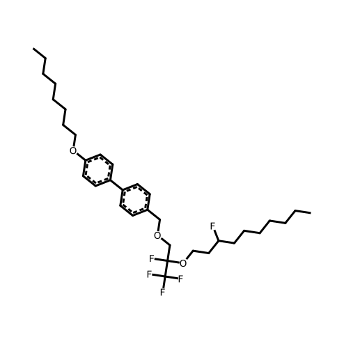 CCCCCCCCOc1ccc(-c2ccc(COCC(F)(OCCC(F)CCCCCCC)C(F)(F)F)cc2)cc1